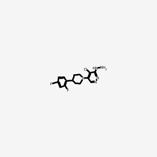 NNc1nncc(N2CCC(c3ccc(F)cc3F)CC2)c1Cl